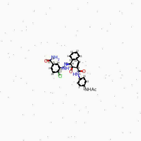 CC(=O)Nc1ccc(NC(=O)C2=Cc3ccccc3/C(=N/Nc3cc(C(N)=O)ccc3Cl)C2=O)cc1